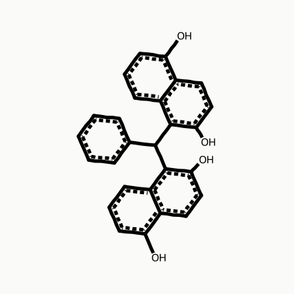 Oc1ccc2c(O)cccc2c1C(c1ccccc1)c1c(O)ccc2c(O)cccc12